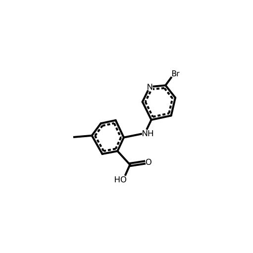 Cc1ccc(Nc2ccc(Br)nc2)c(C(=O)O)c1